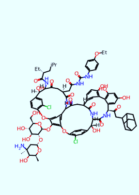 CCOc1ccc(NC(=O)NC(=O)C[C@@H]2CC(=O)[C@H](NC(=O)[C@H](CC)CC(C)C)[C@H](O)c3ccc(c(Cl)c3)Oc3cc4cc(c3O[C@@H]3O[C@H](CO)[C@@H](O)[C@H](O)[C@H]3O[C@H]3C[C@](C)(N)[C@H](O)[C@H](C)O3)Oc3ccc(cc3Cl)[C@@H](O)[C@@H]3NC(=O)[C@H](CC(=O)[C@@H]4NC2=O)c2ccc(O)c(c2)-c2c(O)cc(O)cc2[C@@H](C(=O)CC2C4CC5CC(C4)CC2C5)NC3=O)cc1